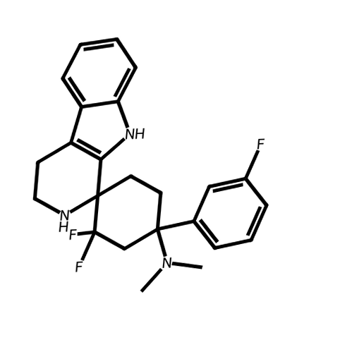 CN(C)C1(c2cccc(F)c2)CCC2(NCCc3c2[nH]c2ccccc32)C(F)(F)C1